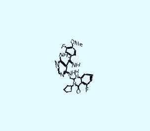 COc1ccc(C(=N)c2c(N)ncnc2NCC2Nc3cccc(F)c3C(=O)N2C2CCCC2)cc1F